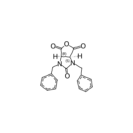 O=C1OC(=O)[C@H]2[C@@H]1N(Cc1ccccc1)C(=O)N2Cc1ccccc1